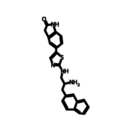 NC(CNc1ncc(-c2ccc3c(c2)CC(=O)N3)s1)Cc1ccc2ccccc2c1